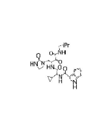 CC(C)CNC(=O)C(=O)[C@H](CN1CCNC1=O)NC(=O)C(NC(=O)c1c[nH]c2ccccc12)C1CC1